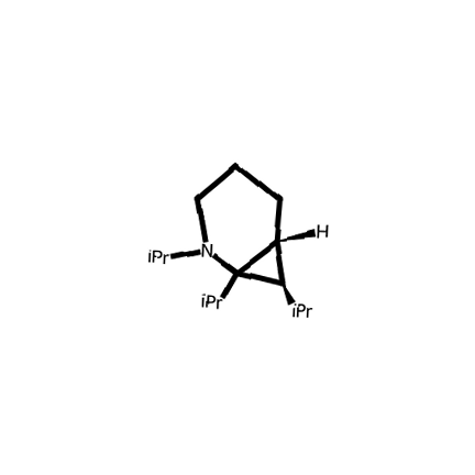 CC(C)[C@@H]1[C@H]2CCCN(C(C)C)C21C(C)C